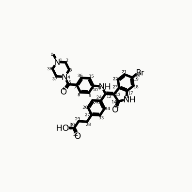 CN1CCN(C(=O)c2ccc(NC(=C3C(=O)Nc4cc(Br)ccc43)c3ccc(CCC(=O)O)cc3)cc2)CC1